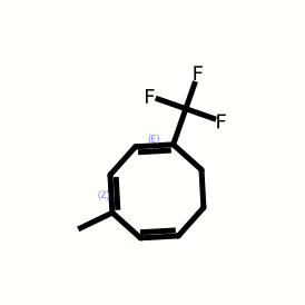 C/C1=C/C=C(/C(F)(F)F)CCC=C1